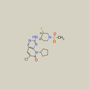 CS(=O)(=O)N1CC[C@H](Nc2ncc3cc(Cl)c(=O)n(C4CCCC4)c3n2)[C@@H](F)C1